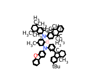 Cc1cc2c3c(c1)N(c1cc4c(cc1C)C(C)(C)CCC4(C)C)c1cc4c(cc1B3c1ccc(C3c5ccc(C(C)(C)C)cc5C5(C)CCCCC35C)cc1N2c1ccc2c(c1)oc1ccccc12)C(C)(C)c1ccccc1C4(C)C